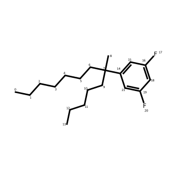 CCCCCCCC(C)(CCCCC)c1cc(F)cc(F)c1